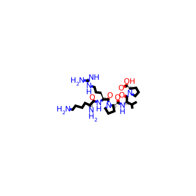 CC(C)[C@H](NC(=O)[C@@H]1CCCN1C(=O)[C@H](CCCNC(=N)N)NC(=O)[C@@H](N)CCCCN)C(=O)N1CCC[C@H]1C(=O)O